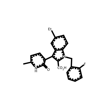 CCc1ccc2c(c1)c(-c1ccc(C)[nH]c1=O)c(C(=O)O)n2Cc1ccccc1F